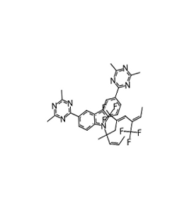 C/C=C\C(C)(C/C(=C\C(=C/C)C(F)(F)F)C(F)(F)F)n1c2ccc(-c3nc(C)nc(C)n3)cc2c2cc(-c3nc(C)nc(C)n3)ccc21